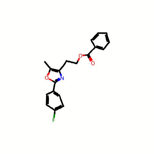 Cc1oc(-c2ccc(F)cc2)nc1CCOC(=O)c1ccccc1